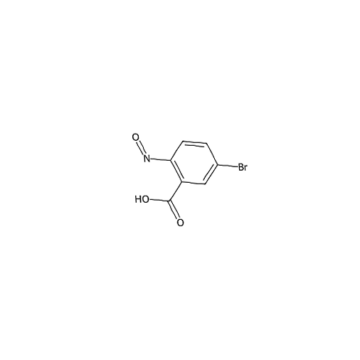 O=Nc1ccc(Br)cc1C(=O)O